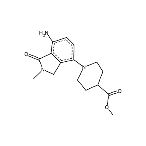 COC(=O)C1CCN(c2ccc(N)c3c2CN(C)C3=O)CC1